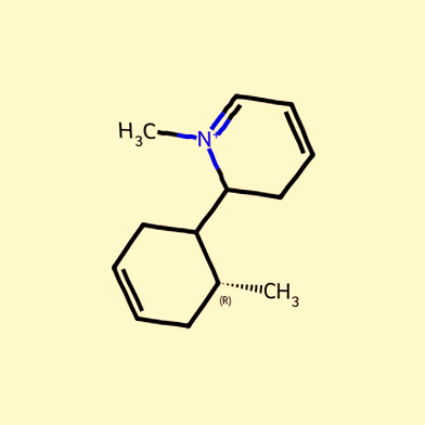 C[C@@H]1CC=CCC1C1CC=CC=[N+]1C